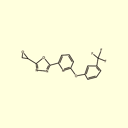 FC(F)(F)c1cccc(Oc2cccc(-c3nnc(C4CO4)o3)n2)c1